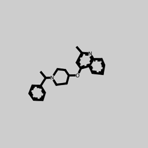 Cc1cc(OC2CCN(C(C)c3ccccc3)CC2)c2ccccc2n1